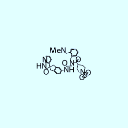 CNCc1ccccc1CN(CC(=O)Nc1ccc2c(c1)CC1(C2)C(=O)Nc2ncccc21)C(=O)C1CCN(S(C)(=O)=O)CC1